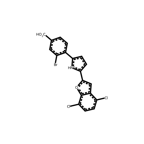 O=C(O)c1ccc(-c2ccc(-c3cc4c(Cl)ccc(Cl)c4o3)[nH]2)c(Br)c1